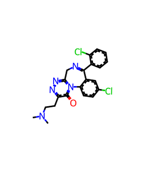 CN(C)CCc1nnc2n(c1=O)-c1ccc(Cl)cc1C(c1ccccc1Cl)=NC2